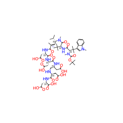 C/C(=C\[C@H](C(C)C)N(C)C(=O)[C@@H](NC(=O)[C@@H](N(C)C(=O)OC(C)(C)C)C(C)(C)c1cn(C)c2ccccc12)C(C)(C)C)C(=O)N[C@@H](CC(=O)O)C(=O)N[C@@H](CC(=O)O)C(=O)N[C@H](CN[C@@H](CC(=O)O)C(=O)N[C@@H](CC(=O)O)C(=O)O)CC(=O)O